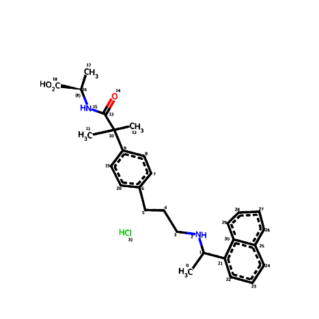 CC(NCCCc1ccc(C(C)(C)C(=O)N[C@H](C)C(=O)O)cc1)c1cccc2ccccc12.Cl